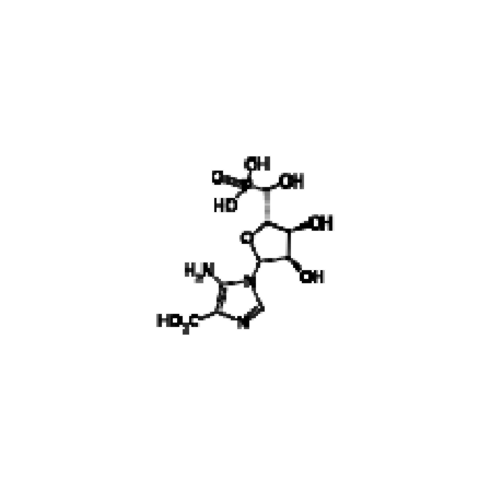 Nc1c(C(=O)O)ncn1C1O[C@H](C(O)P(=O)(O)O)[C@@H](O)[C@H]1O